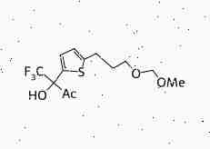 COCOCCCc1ccc(C(O)(C(C)=O)C(F)(F)F)s1